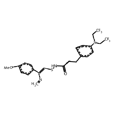 C=N/C(=C\SNC(=O)CCc1ccc(N(CC(F)(F)F)CC(F)(F)F)cc1)c1ccc(OC)cc1